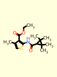 CCOC(=O)c1c(C)csc1NC(=O)C1C(C)(C)C1(C)C